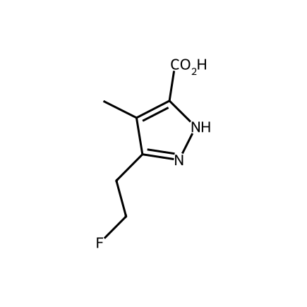 Cc1c(CCF)n[nH]c1C(=O)O